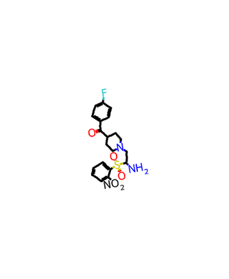 NC(CN1CCC(C(=O)c2ccc(F)cc2)CC1)S(=O)(=O)c1ccccc1[N+](=O)[O-]